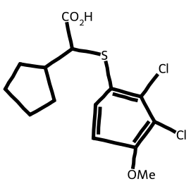 COc1ccc(SC(C(=O)O)C2CCCC2)c(Cl)c1Cl